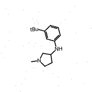 CN1CCC(Nc2cccc(C(C)(C)C)c2)C1